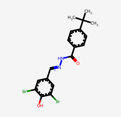 CC(C)(C)c1ccc(C(=O)N/N=C/c2cc(Br)c(O)c(Br)c2)cc1